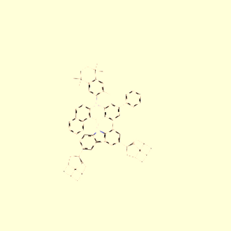 Cc1cc2c(cc1N1c3cc(-c4ccccc4)cc4c3B(c3c1ccc1ccccc31)n1c3ccc(C56CC7CC8CC(C5)C87C6)cc3c3cc(C56CC7CC8CC(C5)C87C6)cc-4c31)C(C)(C)CCC2(C)C